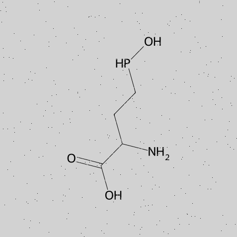 NC(CCPO)C(=O)O